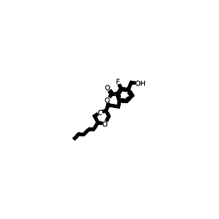 CCCCCC1CCC(C2Cc3ccc(CO)c(F)c3C(=O)O2)CO1